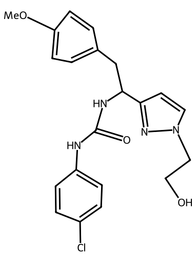 COc1ccc(CC(NC(=O)Nc2ccc(Cl)cc2)c2ccn(CCO)n2)cc1